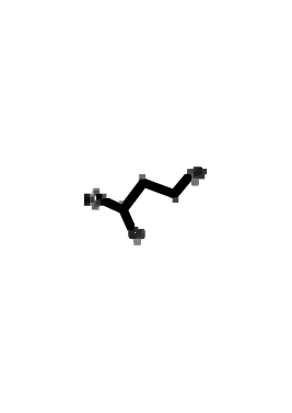 CCCCC[CH](N)[Co]